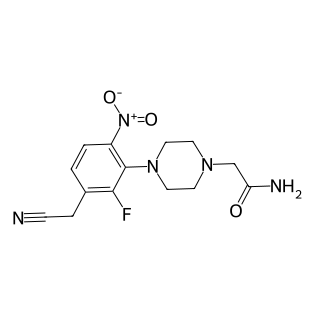 N#CCc1ccc([N+](=O)[O-])c(N2CCN(CC(N)=O)CC2)c1F